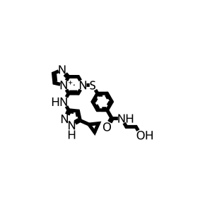 O=C(NCCO)c1ccc(SN2C=C(Nc3cc(C4CC4)[nH]n3)[N+]3C=CN=C3C2)cc1